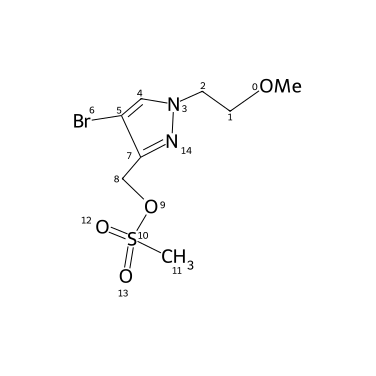 COCCn1cc(Br)c(COS(C)(=O)=O)n1